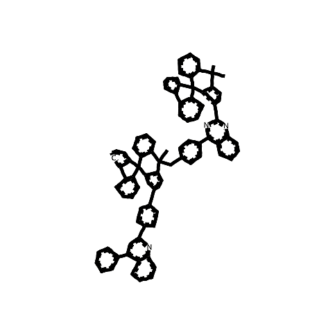 CC1(C)c2ccccc2C2(c3ccccc3-c3ccccc32)c2cc(-c3nc(-c4ccc(CC5(C)c6ccccc6C6(c7ccccc7-c7ccccc76)c6cc(-c7ccc(-c8cc(-c9ccccc9)c9ccccc9n8)cc7)ccc65)cc4)c4ccccc4n3)ccc21